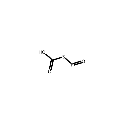 O=PSC(=O)O